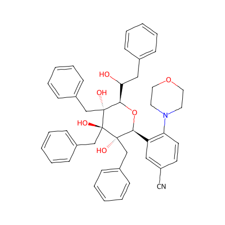 N#Cc1ccc(N2CCOCC2)c([C@@H]2O[C@H](C(O)Cc3ccccc3)[C@](O)(Cc3ccccc3)[C@@](O)(Cc3ccccc3)[C@]2(O)Cc2ccccc2)c1